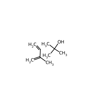 C=CC(=C)C.CC(C)(C)O